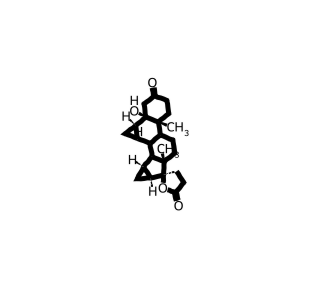 C[C@]12CCC3C(C1[C@@H]1C[C@@H]1[C@@]21CCC(=O)O1)[C@H]1C[C@H]1[C@]1(O)CC(=O)CC[C@]31C